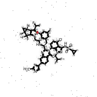 Cc1ncc(-c2ccc3c(=O)n(-c4ccc(Cl)c5c(NS(=O)(=O)C6CC6)nn(CC(F)F)c45)c([C@H](Cc4cc(F)cc(F)c4)NC(=O)Cn4nc(C(F)F)c5c4C(F)(F)[C@@H]4C[C@H]54)nc3c2)s1